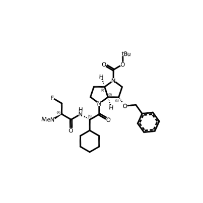 CN[C@@H](CF)C(=O)N[C@H](C(=O)N1CC[C@@H]2[C@H]1[C@@H](OCc1ccccc1)CN2C(=O)OC(C)(C)C)C1CCCCC1